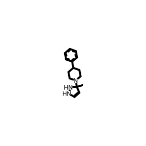 CC1(N2CCC(c3ccccc3)CC2)C=CNN1